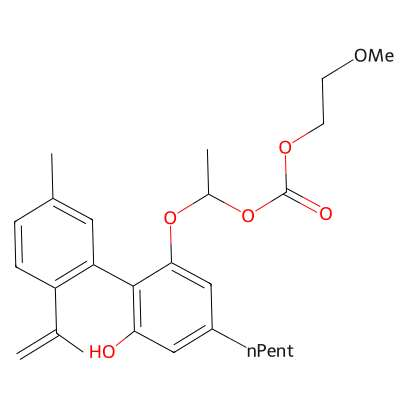 C=C(C)c1ccc(C)cc1-c1c(O)cc(CCCCC)cc1OC(C)OC(=O)OCCOC